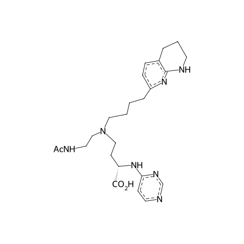 CC(=O)NCCN(CCCCc1ccc2c(n1)NCCC2)CC[C@H](Nc1ccncn1)C(=O)O